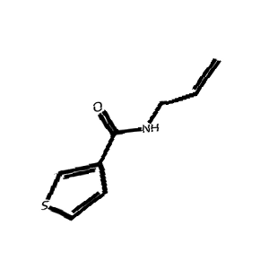 C=CCNC(=O)c1[c]scc1